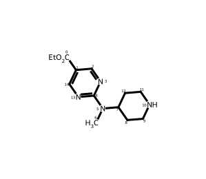 CCOC(=O)c1cnc(N(C)C2CCNCC2)nc1